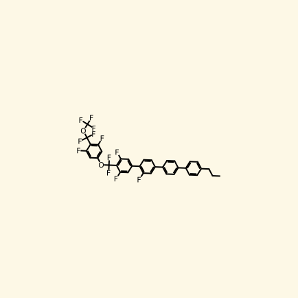 CCCc1ccc(-c2ccc(-c3ccc(-c4cc(F)c(C(F)(F)Oc5cc(F)c(C(F)(F)OC(F)(F)F)c(F)c5)c(F)c4)c(F)c3)cc2)cc1